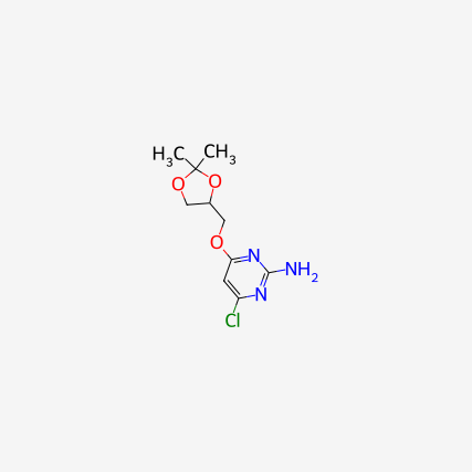 CC1(C)OCC(COc2cc(Cl)nc(N)n2)O1